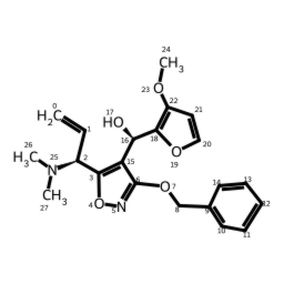 C=C[C@@H](c1onc(OCc2ccccc2)c1[C@@H](O)c1occc1OC)N(C)C